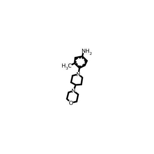 Cc1cc(N)ccc1N1CCC(N2CCOCC2)CC1